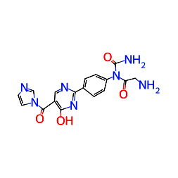 NCC(=O)N(C(N)=O)c1ccc(-c2ncc(C(=O)n3ccnc3)c(O)n2)cc1